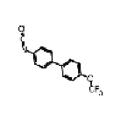 O=C=Nc1ccc(-c2ccc(OC(F)(F)F)cc2)cc1